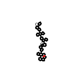 c1ccc2c(c1)ccc1cccc(-c3c4ccccc4c(-c4ccc5c(ccc6oc7c(-c8cc9ccc(-c%10c%11ccccc%11c(-c%11ccc%12c(ccc%13oc%14ccccc%14c%13%12)c%11)c%11ccccc%10%11)cc9c9ccccc89)cccc7c65)c4)c4ccccc34)c12